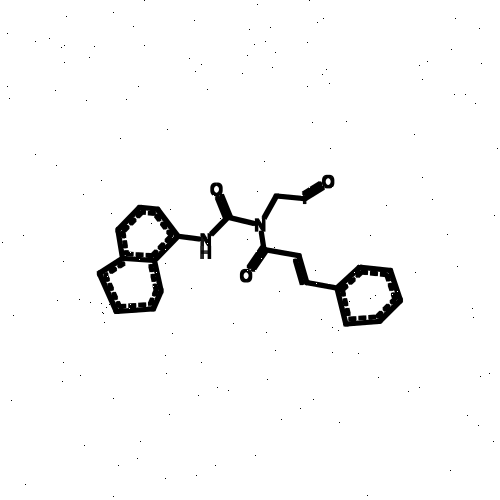 O=[C]CN(C(=O)C=Cc1ccccc1)C(=O)Nc1cccc2ccccc12